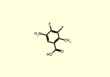 Cc1c(C(=O)O)cc(N)c(F)c1F